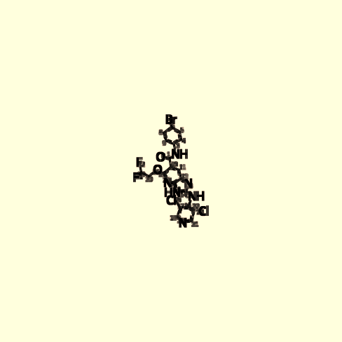 O=C(Nc1ccc(Br)cc1)c1cc2nc(Nc3c(Cl)cncc3Cl)[nH]c2nc1OCC(F)F